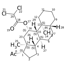 CC(=O)[C@H]1CC[C@H]2[C@@H]3CC[C@H]4CCCC[C@]4(C)[C@H]3[C@@H](OC(=O)C(Cl)Cl)C[C@]12C